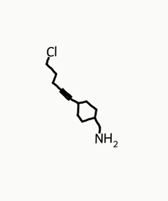 NCC1CCC(C#CCCCCl)CC1